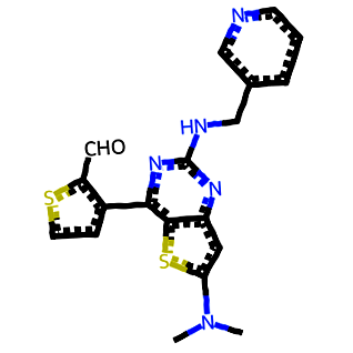 CN(C)c1cc2nc(NCc3cccnc3)nc(-c3ccsc3C=O)c2s1